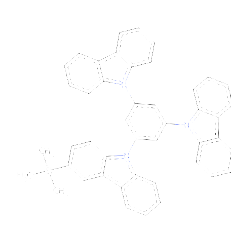 C[Si](C)(C)c1ccc2c(c1)c1ccccc1n2-c1cc(-n2c3ccccc3c3ccccc32)cc(-n2c3ccccc3c3ccccc32)c1